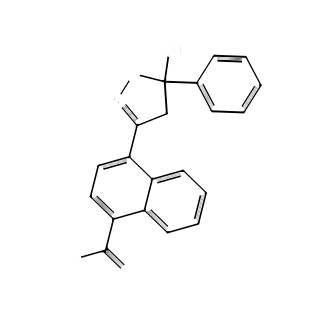 CC1(c2ccccc2)CC(c2ccc(C(=O)O)c3ccccc23)=NO1